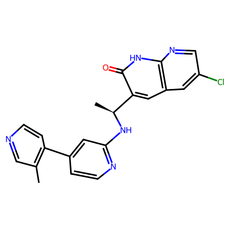 Cc1cnccc1-c1ccnc(N[C@@H](C)c2cc3cc(Cl)cnc3[nH]c2=O)c1